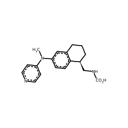 CN(c1ccncc1)c1ccc2c(c1)CCC[C@H]2CNC(=O)O